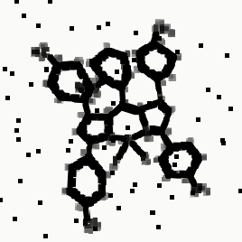 COc1ccccc1C1=C2C(c3ccc(C)cc3)=CC(c3ccc(C)cc3)=[N+]2[B-](F)(F)n2c(-c3ccc(C)cc3)cc(-c3ccc(C)cc3)c21